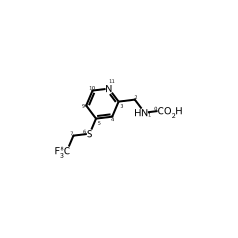 O=C(O)NCc1cc(SCC(F)(F)F)ccn1